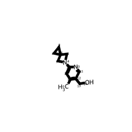 Cc1cc(N2CC3(CC3)C2)ncc1CO